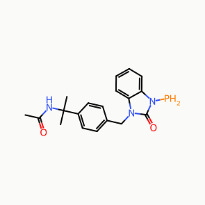 CC(=O)NC(C)(C)c1ccc(Cn2c(=O)n(P)c3ccccc32)cc1